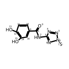 O=C(Nc1nnn([S])n1)c1ccc(O)c(O)c1